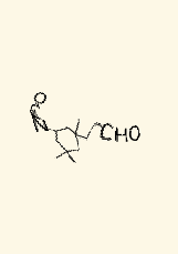 CC1(C)CC(N=C=O)CC(C)(CCC=O)C1